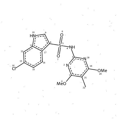 COc1nc(NS(=O)(=O)c2c[nH]c3cc(Cl)ccc23)nc(OC)c1C